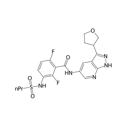 CCCS(=O)(=O)Nc1ccc(F)c(C(=O)Nc2cnc3[nH]nc(C4CCOC4)c3c2)c1F